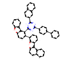 c1ccc(-c2ccc(-c3nc(-c4ccc5ccccc5c4)nc(-c4c(-c5cccc6c5oc5ccc7ccccc7c56)ccc5oc6ccccc6c45)n3)cc2)cc1